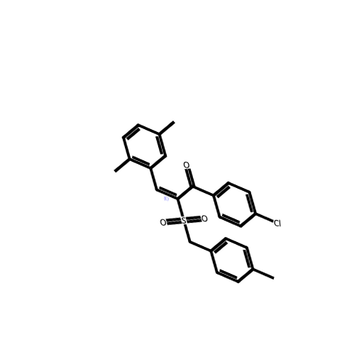 Cc1ccc(CS(=O)(=O)/C(=C/c2cc(C)ccc2C)C(=O)c2ccc(Cl)cc2)cc1